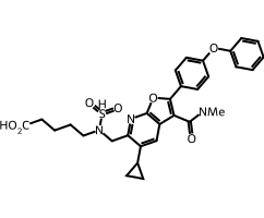 CNC(=O)c1c(-c2ccc(Oc3ccccc3)cc2)oc2nc(CN(CCCCC(=O)O)[SH](=O)=O)c(C3CC3)cc12